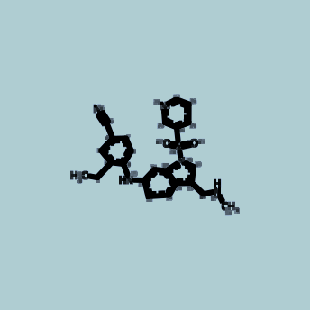 CCc1cc(C#N)ccc1Nc1ccc2c(CNC)cn(S(=O)(=O)c3cccnc3)c2c1